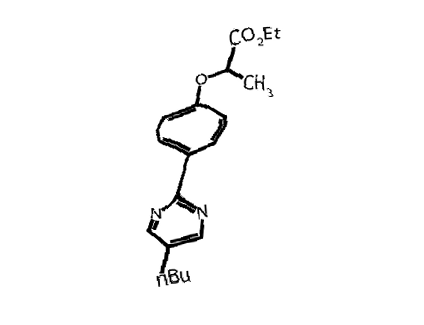 CCCCc1cnc(-c2ccc(OC(C)C(=O)OCC)cc2)nc1